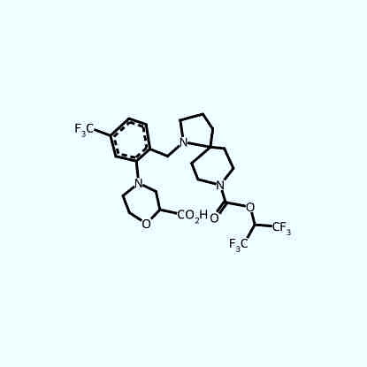 O=C(O)C1CN(c2cc(C(F)(F)F)ccc2CN2CCCC23CCN(C(=O)OC(C(F)(F)F)C(F)(F)F)CC3)CCO1